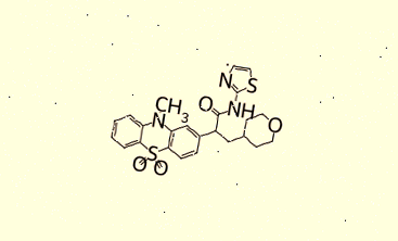 CN1c2ccccc2S(=O)(=O)c2ccc(C(CC3CCOCC3)C(=O)Nc3n[c]cs3)cc21